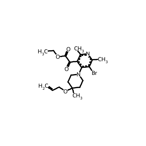 C=CCOC1(C)CCN(c2c(Br)c(C)nc(C)c2C(=O)C(=O)OCC)CC1